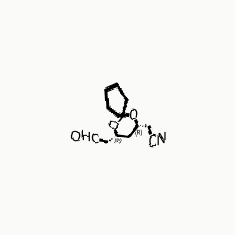 N#CC[C@@H]1C[C@H](CC=O)OC2(CCCC2)O1